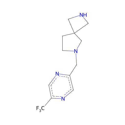 FC(F)(F)c1cnc(CN2CCC3(CNC3)C2)cn1